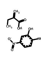 C=C(CC)C(=O)O.Nc1ccc([N+](=O)[O-])cc1O